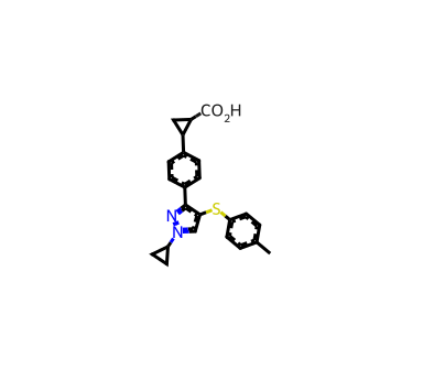 Cc1ccc(Sc2cn(C3CC3)nc2-c2ccc(C3CC3C(=O)O)cc2)cc1